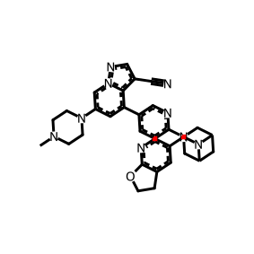 CN1CCN(c2cc(-c3ccc(N4CC5CC(C4)N5Cc4cnc5c(c4)CCO5)nc3)c3c(C#N)cnn3c2)CC1